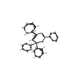 C1=C(c2ccccc2)CC(c2ccccc2)(c2ccccn2)C=C1c1ccccn1